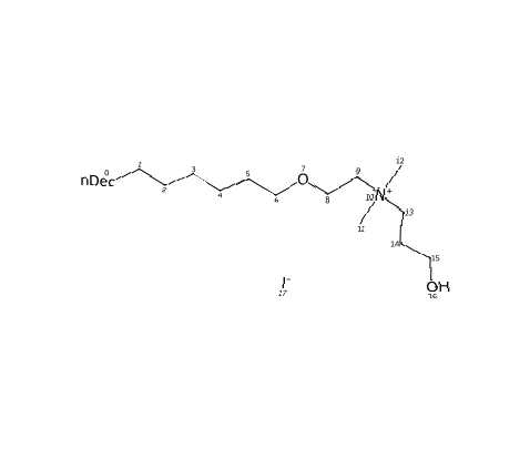 CCCCCCCCCCCCCCCCOCC[N+](C)(C)CCCO.[I-]